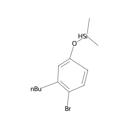 CCCCc1cc(O[SiH](C)C)ccc1Br